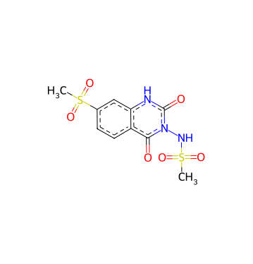 CS(=O)(=O)Nn1c(=O)[nH]c2cc(S(C)(=O)=O)ccc2c1=O